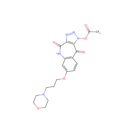 O=C(On1nnc2c(=O)[nH]c3cc(OCCCN4CCOCC4)ccc3c(=O)c21)C(F)(F)F